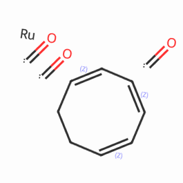 C1=C\C=C/CC\C=C/1.[C]=O.[C]=O.[C]=O.[Ru]